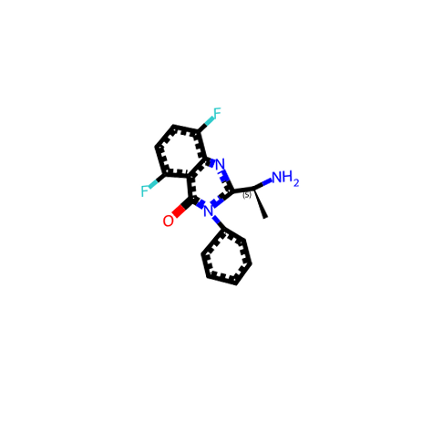 C[C@H](N)c1nc2c(F)ccc(F)c2c(=O)n1-c1ccccc1